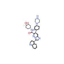 C[C@]1(O)CC[C@H](NC(=O)c2nn3c(-c4ccnc5ccccc45)cnc3cc2-c2ccc(N3CCNCC3)cc2)CC1